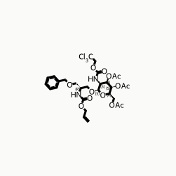 C=CCOC(=O)N[C@H](COCc1ccccc1)CO[C@H]1O[C@H](COC(C)=O)[C@@H](OC(C)=O)[C@H](OC(C)=O)[C@@H]1NC(=O)OCC(Cl)(Cl)Cl